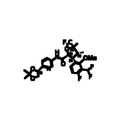 COc1c([C@@H]2[C@@H](C(=O)Nc3ccc([C@H]4COC(C)(C)O4)nc3)O[C@](C)(C(F)(F)F)[C@@H]2C)ccc(F)c1C(F)F